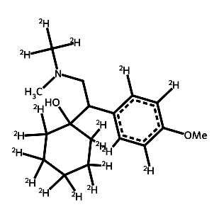 [2H]c1c([2H])c(C(CN(C)C([2H])([2H])[2H])C2(O)C([2H])([2H])C([2H])([2H])C([2H])([2H])C([2H])([2H])C2([2H])[2H])c([2H])c([2H])c1OC